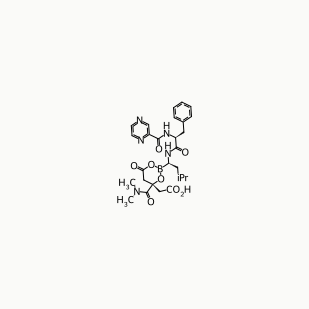 CC(C)C[C@H](NC(=O)[C@H](Cc1ccccc1)NC(=O)c1cnccn1)B1OC(=O)C[C@@](CC(=O)O)(C(=O)N(C)C)O1